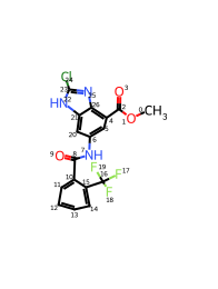 COC(=O)c1cc(NC(=O)c2ccccc2C(F)(F)F)cc2[nH]c(Cl)nc12